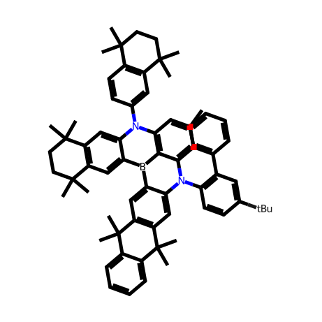 Cc1cc2c3c(c1)N(c1ccc(C(C)(C)C)cc1-c1ccccc1)c1cc4c(cc1B3c1cc3c(cc1N2c1ccc2c(c1)C(C)(C)CCC2(C)C)C(C)(C)CCC3(C)C)C(C)(C)c1ccccc1C4(C)C